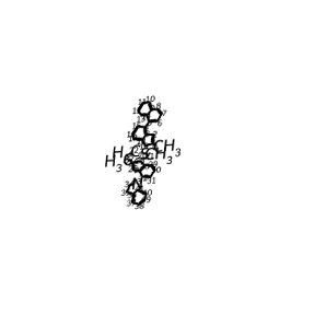 CC1=Cc2c(-c3cccc4ccccc34)cccc2C1S(C)(C)C1C(C)=Cc2c1cccc2N1CCc2ccccc21